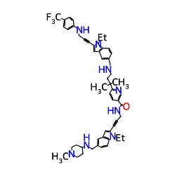 CCn1c(C#CCNc2ccc(C(F)(F)F)cc2)cc2cc(CNCCC(C)(C)c3ccc(C(=O)NCC#Cc4cc5cc(CNC6CCN(C)CC6)ccc5n4CC)cn3)ccc21